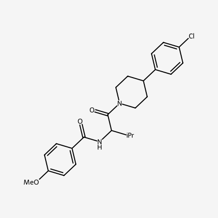 COc1ccc(C(=O)NC(C(=O)N2CCC(c3ccc(Cl)cc3)CC2)C(C)C)cc1